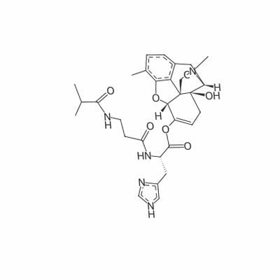 Cc1ccc2c3c1O[C@H]1C(OC(=O)[C@H](Cc4c[nH]cn4)NC(=O)CCNC(=O)C(C)C)=CC[C@@]4(O)[C@@H](C2)N(C)CC[C@]314